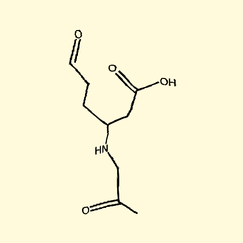 CC(=O)CNC(CCC=O)CC(=O)O